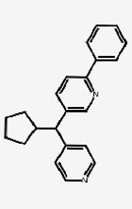 c1ccc(-c2ccc(C(c3ccncc3)C3CCCC3)cn2)cc1